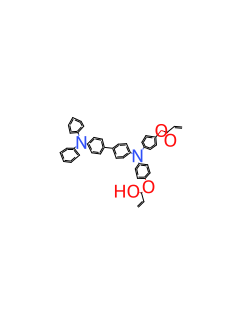 C=CC(=O)Oc1ccc(N(c2ccc(OC(O)C=C)cc2)c2ccc(-c3ccc(N(c4ccccc4)c4ccccc4)cc3)cc2)cc1